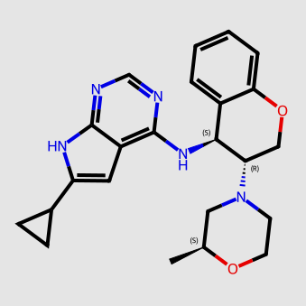 C[C@H]1CN([C@H]2COc3ccccc3[C@@H]2Nc2ncnc3[nH]c(C4CC4)cc23)CCO1